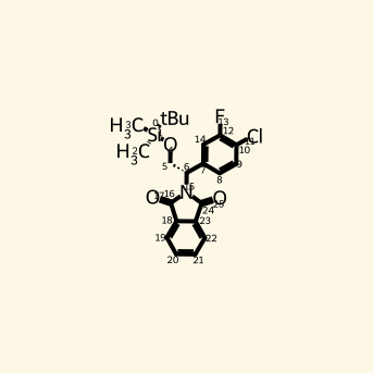 CC(C)(C)[Si](C)(C)OC[C@H](c1ccc(Cl)c(F)c1)N1C(=O)c2ccccc2C1=O